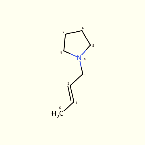 [CH2]/C=C/CN1CCCC1